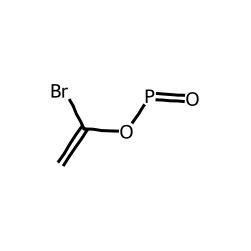 C=C(Br)OP=O